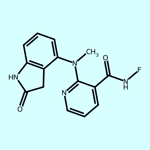 CN(c1cccc2c1CC(=O)N2)c1ncccc1C(=O)NF